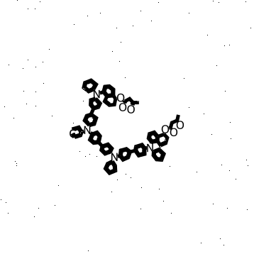 CC(=O)CC(=O)OC1CC=Cc2c1cccc2N(c1ccccc1)c1ccc(-c2ccc(N(c3ccccc3)c3ccc(-c4ccc(N(c5ccccc5)c5ccc(-c6ccc(N(c7ccccc7)c7cccc8c7C=CCC8OC(=O)CC(C)=O)cc6)cc5)cc4)cc3)cc2)cc1